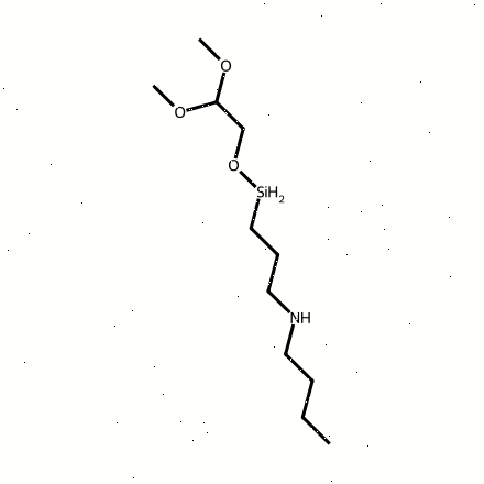 CCCCNCCC[SiH2]OCC(OC)OC